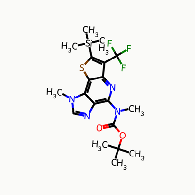 CN(C(=O)OC(C)(C)C)c1nc2c(C(F)(F)F)c([Si](C)(C)C)sc2c2c1ncn2C